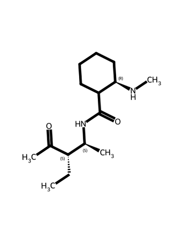 CC[C@H](C(C)=O)[C@H](C)NC(=O)C1CCCC[C@H]1NC